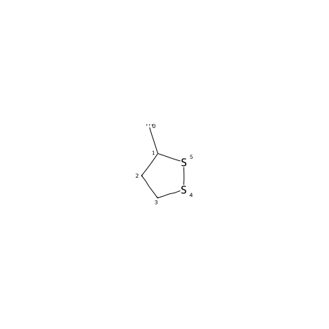 [C]C1CCSS1